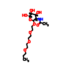 CCCOCCOCCOCCOC1O[C@H](O)[C@H](O)[C@H](O)[C@H]1NC(C)=O